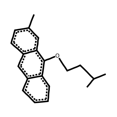 Cc1ccc2cc3ccccc3c(OCCC(C)C)c2c1